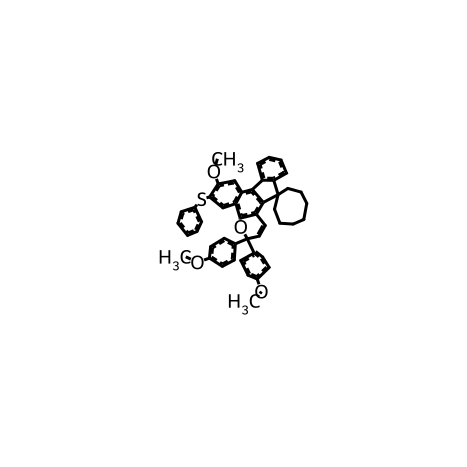 COc1ccc(C2(c3ccc(OC)cc3)C=Cc3c4c(c5cc(OC)c(Sc6ccccc6)cc5c3O2)-c2ccccc2C42CCCCCCC2)cc1